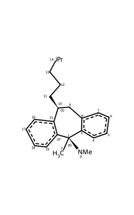 CN[C@]1(C)c2ccccc2C[C@H](CCCC(C)C)c2ccccc21